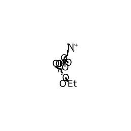 CCC(=O)OC[C@H](CO)OP(=O)([O-])OCC[N+](C)(C)C